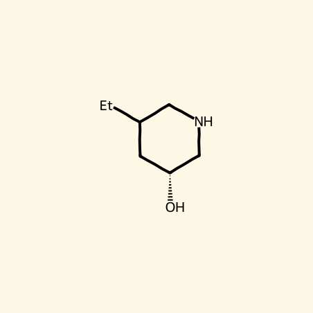 CCC1CNC[C@H](O)C1